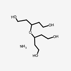 N.OCCC(CCO)OC(CCO)CCO